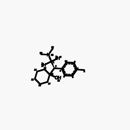 [2H]C([2H])([C@H](c1ccc(C)cc1)C1(O)CCCCC1)N(C)C